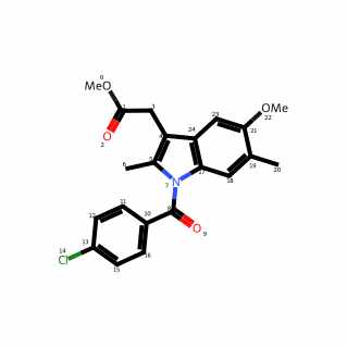 COC(=O)Cc1c(C)n(C(=O)c2ccc(Cl)cc2)c2cc(C)c(OC)cc12